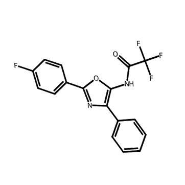 O=C(Nc1oc(-c2ccc(F)cc2)nc1-c1ccccc1)C(F)(F)F